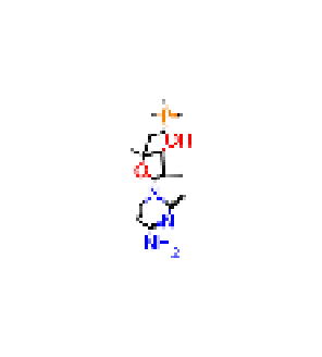 C=C1N=C(N)C=CN1[C@@H]1O[C@](C)(CCP(=C)(C)C)[C@@H](O)[C@H]1C